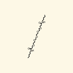 CCCCCNC(=O)CCOCCOCCOCCOCCOCCC(=O)NCCCCC